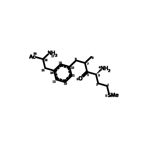 CSCC[C@@H](N)C(=O)C(C)Cc1cccc(CC(N)C(C)=O)c1